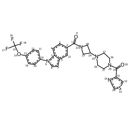 O=C(c1ccc2c(ccn2-c2ccc(OC(F)(F)F)cc2)c1)N1CC(N2CCN(C(=O)c3cscn3)CC2)C1